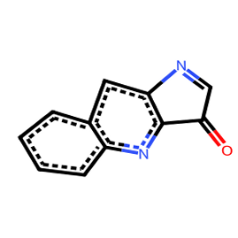 O=C1C=Nc2cc3ccccc3nc21